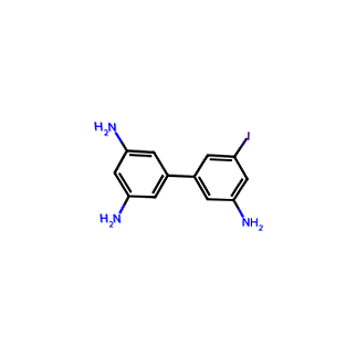 Nc1cc(N)cc(-c2cc(N)cc(I)c2)c1